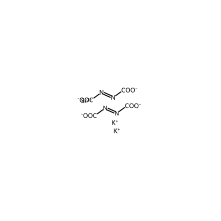 O=C([O-])N=NC(=O)[O-].O=C([O-])N=NC(=O)[O-].[K+].[K+].[Sr+2]